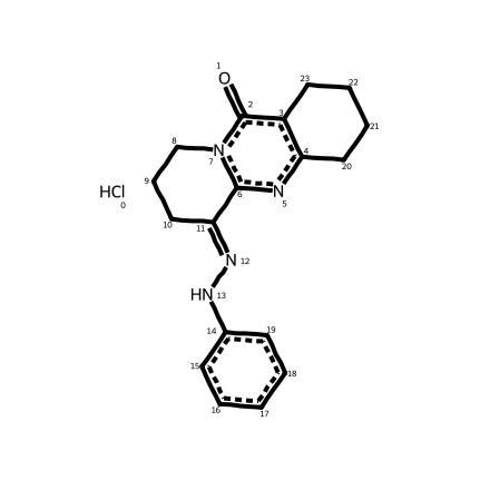 Cl.O=c1c2c(nc3n1CCCC3=NNc1ccccc1)CCCC2